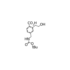 CC(C)(C)OC(=O)NCc1ccc(C(=O)O)c(CCO)c1